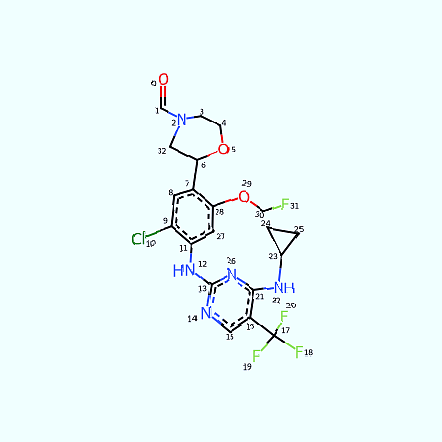 O=CN1CCOC(c2cc(Cl)c(Nc3ncc(C(F)(F)F)c(NC4CC4)n3)cc2OCF)C1